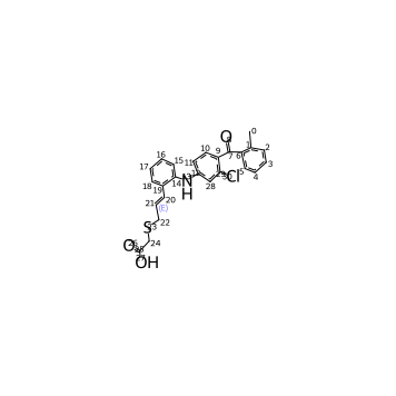 Cc1ccccc1C(=O)c1ccc(Nc2ccccc2/C=C/CSCC(=O)O)cc1Cl